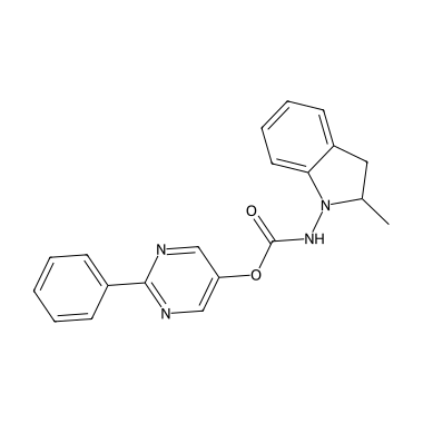 CC1Cc2ccccc2N1NC(=O)Oc1cnc(-c2ccccc2)nc1